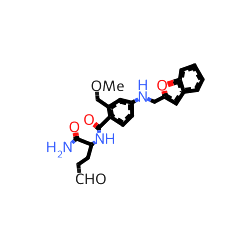 COCc1cc(NCc2cc3ccccc3o2)ccc1C(=O)NC(CCC=O)C(N)=O